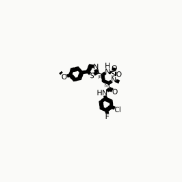 COc1ccc(-c2cnc([C@H]3C[C@@H](C(=O)Nc4ccc(F)c(Cl)c4)N(C)S(=O)(=O)N3)s2)cc1